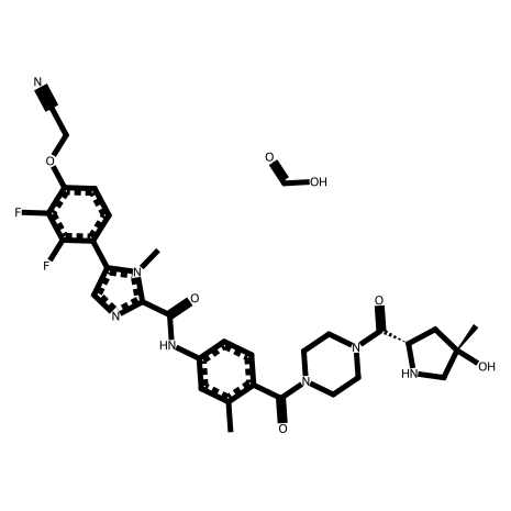 Cc1cc(NC(=O)c2ncc(-c3ccc(OCC#N)c(F)c3F)n2C)ccc1C(=O)N1CCN(C(=O)[C@@H]2C[C@](C)(O)CN2)CC1.O=CO